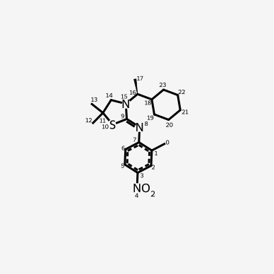 Cc1cc([N+](=O)[O-])ccc1N=C1SC(C)(C)CN1[C@@H](C)C1CCCCC1